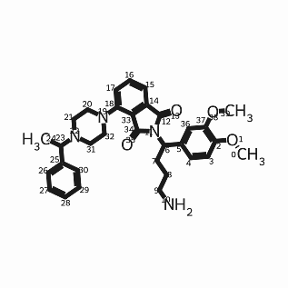 COc1ccc(C(CCCN)N2C(=O)c3cccc(N4CCN(C(C)c5ccccc5)CC4)c3C2=O)cc1OC